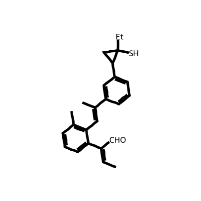 C/C=C(\C=O)c1cccc(C)c1/C=C(\C)c1cccc(C2CC2(S)CC)c1